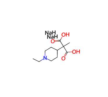 CCN1CCC(C(C)(C(=O)O)C(=O)O)CC1.[NaH].[NaH]